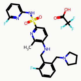 Cc1nc(S(=O)(=O)Nc2cccc(F)n2)ccc1NCc1c(F)cccc1CN1CCCC1.O=C(O)C(F)(F)F